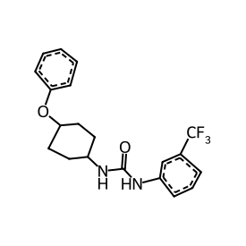 O=C(Nc1cccc(C(F)(F)F)c1)NC1CCC(Oc2ccccc2)CC1